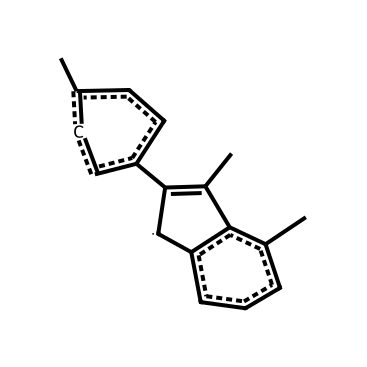 CC1=C(c2ccc(C)cc2)[CH]c2cccc(C)c21